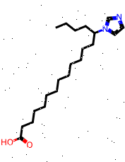 CCCCC(CCCCCCCCCCCCC(=O)O)n1ccnc1